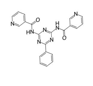 O=C(Nc1nc(NC(=O)c2cccnc2)nc(-c2ccccc2)n1)c1cccnc1